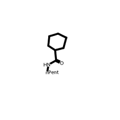 CCCCCNC(=O)C1CCCCC1